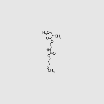 CCC(C)C(=O)OCCNC(=O)OCCCSC